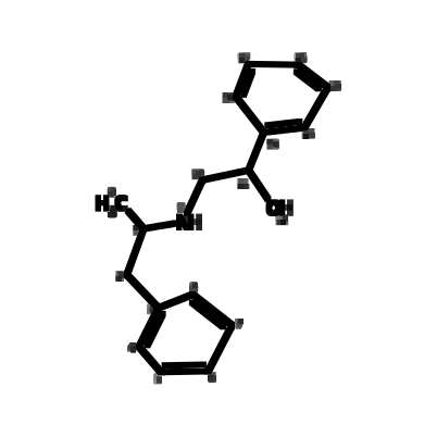 CC(Cc1ccccc1)NCC(O)c1ccccc1